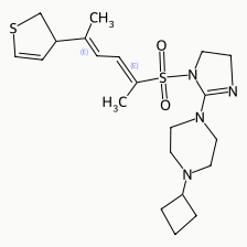 C/C(=C\C=C(/C)S(=O)(=O)N1CCN=C1N1CCN(C2CCC2)CC1)C1C=CSC1